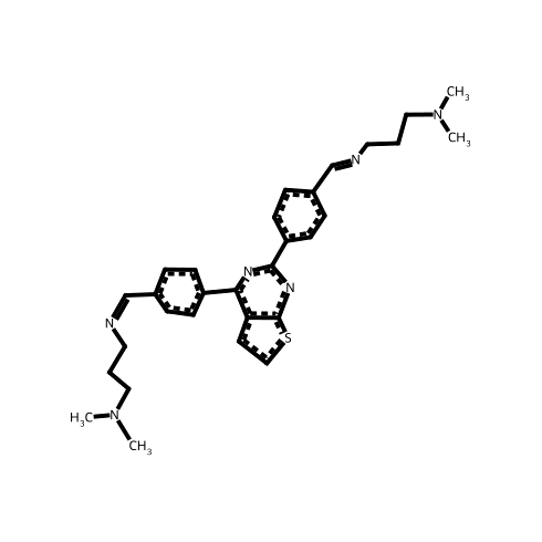 CN(C)CCC/N=C\c1ccc(-c2nc(-c3ccc(/C=N/CCCN(C)C)cc3)nc3sccc23)cc1